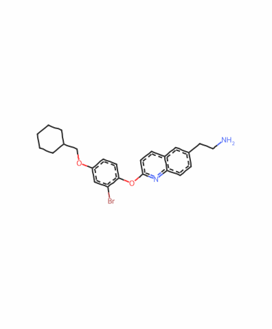 NCCc1ccc2nc(Oc3ccc(OCC4CCCCC4)cc3Br)ccc2c1